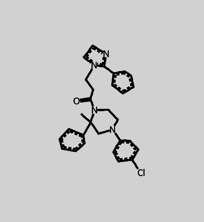 CC1(c2ccccc2)CN(c2ccc(Cl)cc2)CCN1C(=O)CCn1ccnc1-c1ccccc1